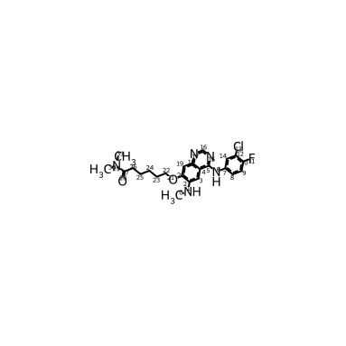 CNc1cc2c(Nc3ccc(F)c(Cl)c3)ncnc2cc1OCCCCCC(=O)N(C)C